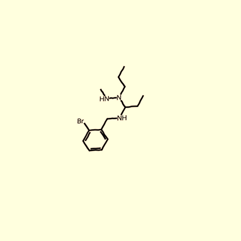 CCCN(NC)C(CC)NCc1ccccc1Br